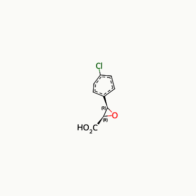 O=C(O)[C@@H]1O[C@@H]1c1ccc(Cl)cc1